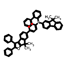 CC1(C)c2ccccc2-c2ccc(N(c3ccc(-c4ccc5c(c4)C(C)(C)c4oc(-c6ccccc6)c(-c6ccccc6)c4-5)cc3)c3ccccc3-c3ccccc3)cc21